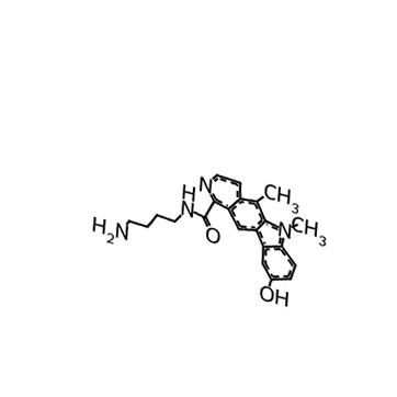 Cc1c2ccnc(C(=O)NCCCCN)c2cc2c3cc(O)ccc3n(C)c12